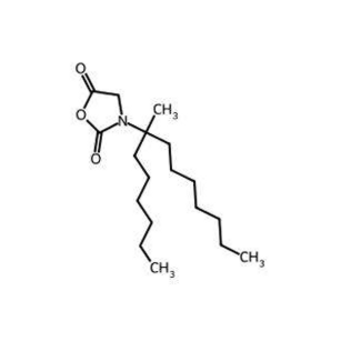 CCCCCCCC(C)(CCCCCC)N1CC(=O)OC1=O